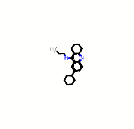 CCCNc1c2c(nc3ccc(C4CCCCC4)cc13)CCCC2